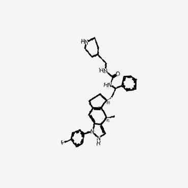 C[C@H]1C2=CNN(c3ccc(F)cc3)C2=CC2=C1[C@@H](CC(NC(=O)NCC1CCNCC1)c1ccccc1)CC2